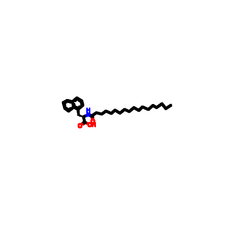 CCCCCCCCCCCCCCCCCC(=O)N[C@@H](Cc1cccc2ccccc12)C(=O)O